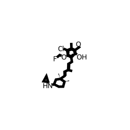 CC(/C=C/[C@]1(C)CC(NC2CC2)CC[C@H]1C)=C\Cc1c(O)c(C=O)c(C)c(Cl)c1OCF